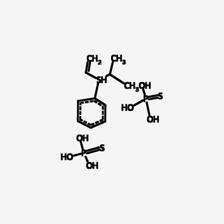 C=C[SH](c1ccccc1)C(C)C.OP(O)(O)=S.OP(O)(O)=S